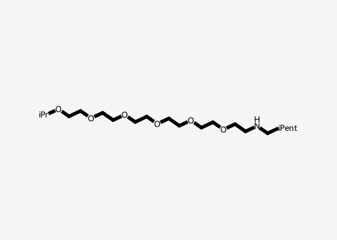 CCCC(C)CNCCOCCOCCOCCOCCOCCOC(C)C